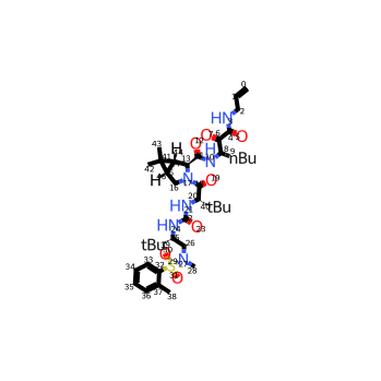 C=CCNC(=O)C(=O)C(CCCC)NC(=O)[C@@H]1[C@@H]2[C@H](CN1C(=O)[C@@H](NC(=O)N[C@H](CN(C)S(=O)(=O)c1ccccc1C)C(C)(C)C)C(C)(C)C)C2(C)C